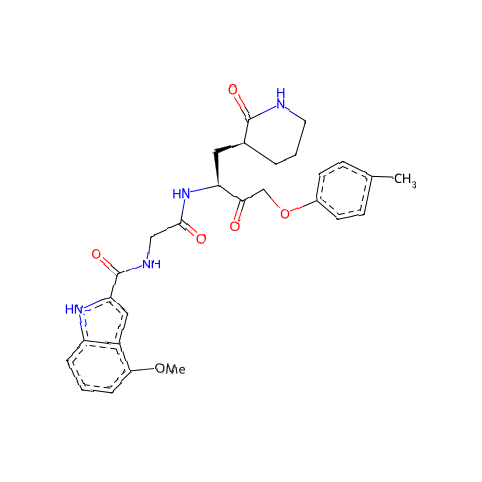 COc1cccc2[nH]c(C(=O)NCC(=O)N[C@@H](C[C@@H]3CCCNC3=O)C(=O)COc3ccc(C)cc3)cc12